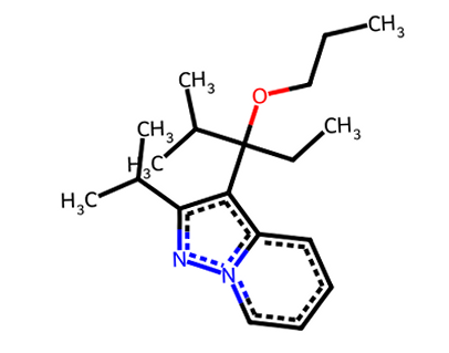 CCCOC(CC)(c1c(C(C)C)nn2ccccc12)C(C)C